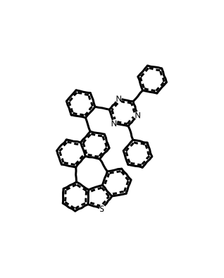 c1ccc(-c2nc(-c3ccccc3)nc(-c3ccccc3-c3ccc4c5c(cccc35)-c3cccc5sc6cccc-4c6c35)n2)cc1